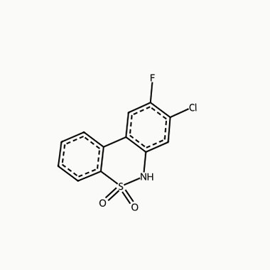 O=S1(=O)Nc2cc(Cl)c(F)cc2-c2ccccc21